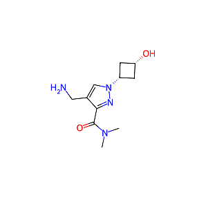 CN(C)C(=O)c1nn([C@H]2C[C@@H](O)C2)cc1CN